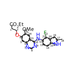 CCOC(=O)CCOc1cc2ncnc(Nc3ccc4[nH]c(C)cc4c3F)c2cc1OC